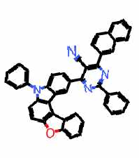 N#Cc1c(-c2ccc3ccccc3c2)nc(-c2ccccc2)nc1-c1ccc2c(c1)c1c3c(ccc1n2-c1ccccc1)oc1ccccc13